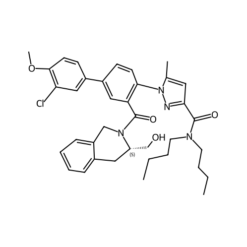 CCCCN(CCCC)C(=O)c1cc(C)n(-c2ccc(-c3ccc(OC)c(Cl)c3)cc2C(=O)N2Cc3ccccc3C[C@H]2CO)n1